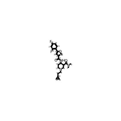 CN(C)C(=O)C1CN(CCC2CC2)CCC1NC(=O)c1cc(-c2ccc(F)cc2F)on1